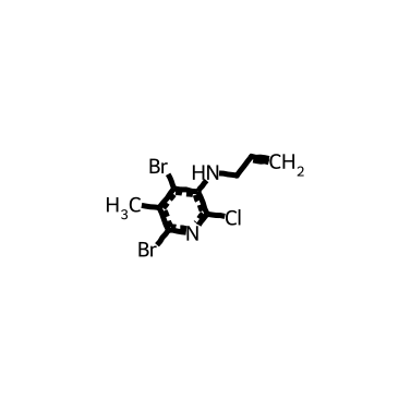 C=CCNc1c(Cl)nc(Br)c(C)c1Br